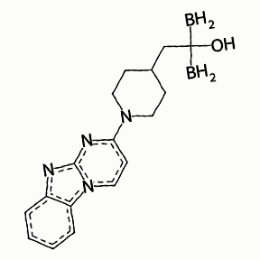 BC(B)(O)CC1CCN(c2ccn3c(n2)nc2ccccc23)CC1